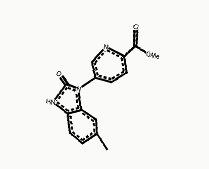 COC(=O)c1ccc(-n2c(=O)[nH]c3ccc(C)cc32)cn1